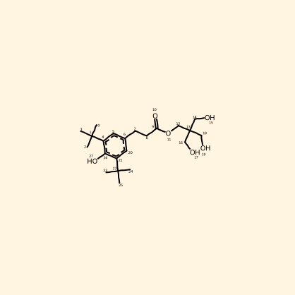 CC(C)(C)c1cc(CCC(=O)OCC(CO)(CO)CO)cc(C(C)(C)C)c1O